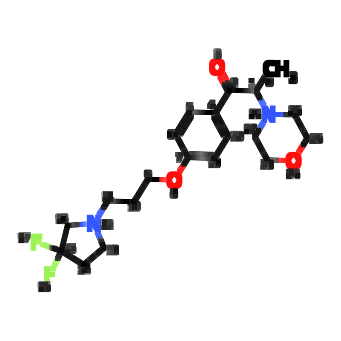 CC(C(=O)c1ccc(OCCCN2CCC(F)(F)C2)cc1)N1CCOCC1